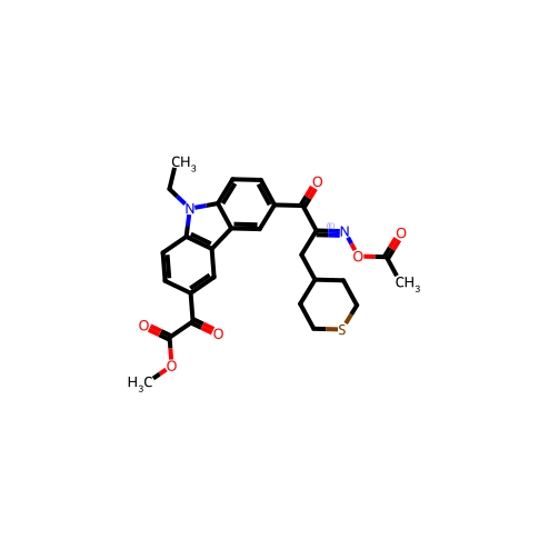 CCn1c2ccc(C(=O)C(=O)OC)cc2c2cc(C(=O)/C(CC3CCSCC3)=N/OC(C)=O)ccc21